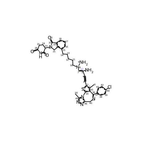 Cc1c(C#C/C(N)=C/N(N)CCCCCc2cccc3c2CN(C2CCC(=O)NC2=O)C3=O)sc2c1C(c1ccc(Cl)cc1)=NCc1nnc(C)n1-2